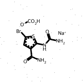 NC(=O)Nc1sc(Br)cc1C(N)=O.O=C([O-])O.[Na+]